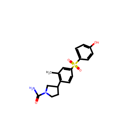 Cc1cc(S(=O)(=O)c2ccc(O)cc2)ccc1C1CCN(C(N)=O)C1